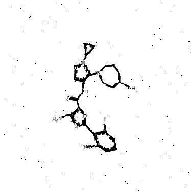 Nc1sc(-c2c(F)cccc2F)nc1C(=O)Nc1cnn(C2CC2)c1N1CCC[C@@H](N)CC1